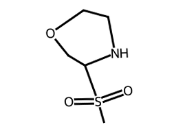 CS(=O)(=O)C1COCCN1